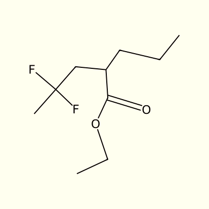 CCCC(CC(C)(F)F)C(=O)OCC